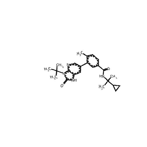 Cc1ccc(C(=O)NC(C)(C)C2CC2)cc1-c1cnc2c(c1)[nH]c(=O)n2C(C)(C)C